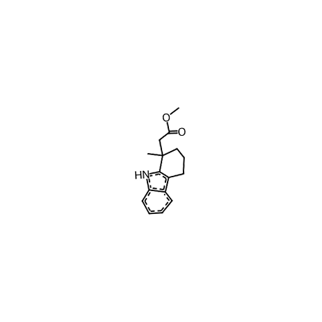 COC(=O)CC1(C)CCCc2c1[nH]c1ccccc21